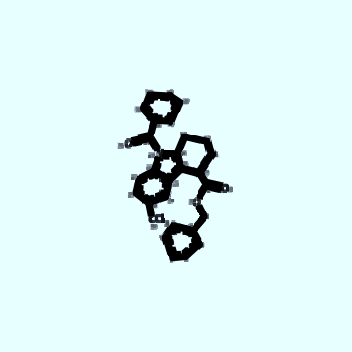 O=C(OCc1ccccc1)C1CCCc2c1c1cc(C(Cl)(Cl)Cl)ccc1n2C(=O)c1ccccc1